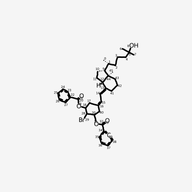 C[C@H](CCCC(C)(C)O)[C@H]1CC[C@H]2/C(=C/C=C3CC(OC(=O)c4ccccc4)C(Br)C(OC(=O)c4ccccc4)C3)CCC[C@]12C